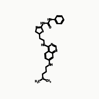 CN(C)CCCNc1ccc2c(NCCC3CN=C(NC(=O)Nc4ccccc4)S3)ncnc2c1